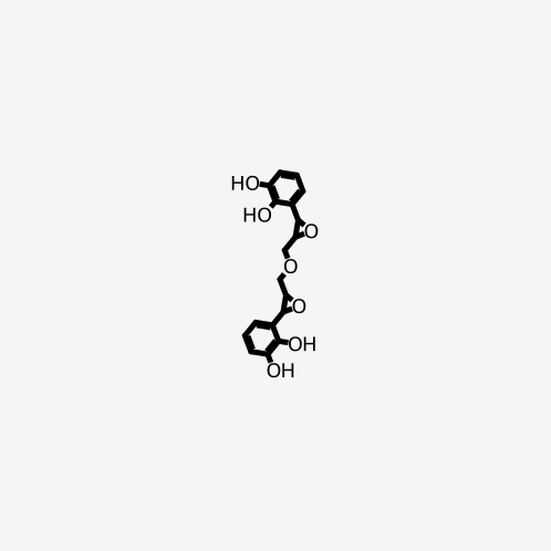 Oc1cccc(C2OC2COCC2OC2c2cccc(O)c2O)c1O